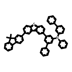 CC1(C)c2ccccc2-c2ccc(-c3ccc4sc5ccc(-c6cc(-c7ccccc7)cc(N(c7ccccc7)c7cccc(-c8ccccc8)c7)c6)cc5c4c3)cc21